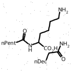 CCCCCC(=O)NC(CCCCN)C(=O)O.CCCCCCCCCCCC(N)=O